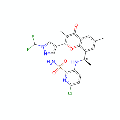 Cc1cc([C@@H](C)Nc2ccc(Cl)nc2S(N)(=O)=O)c2oc(-c3cnn(C(F)F)c3)c(C)c(=O)c2c1